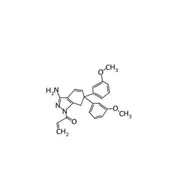 C=CC(=O)n1nc(N)c2c1CC(c1cccc(OC)c1)(c1cccc(OC)c1)C=C2